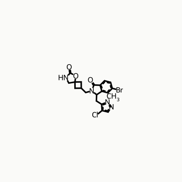 Cn1ncc(Cl)c1CC1c2cc(Br)ccc2C(=O)N1CC1CC2(CNC(=O)O2)C1